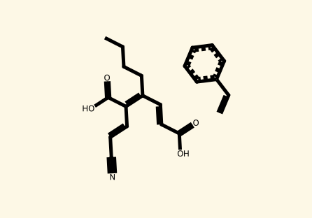 C=Cc1ccccc1.CCCCC(C=CC(=O)O)=C(C=CC#N)C(=O)O